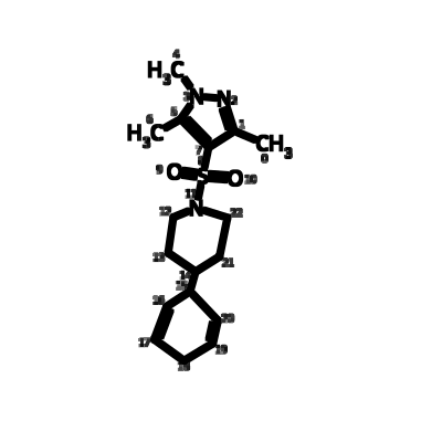 Cc1nn(C)c(C)c1S(=O)(=O)N1CCC(C2C=CCC=C2)CC1